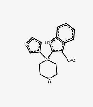 O=Cc1c([N+]2(c3ccsc3)CCNCC2)[nH]c2ccccc12